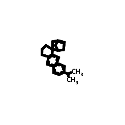 CC(C)c1ccc2cc3c(cc2c1)C1(CCC3)CC2=CCC1C2